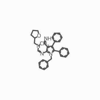 CN(/C=N\c1c(C=N)c(-c2ccccc2)c(-c2ccccc2)n1Cc1ccccc1)CC1CCCO1